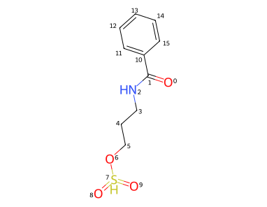 O=C(NCCCO[SH](=O)=O)c1ccccc1